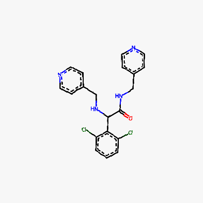 O=C(NCc1ccncc1)C(NCc1ccncc1)c1c(Cl)cccc1Cl